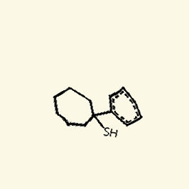 SC1(c2ccccc2)CCCCCC1